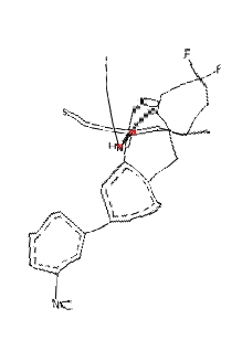 [C-]#[N+]c1cccc(-c2ccc3c(c2)C2(NC(=S)N(C)C2=O)C2(CCC(F)(F)CC2)C3)c1